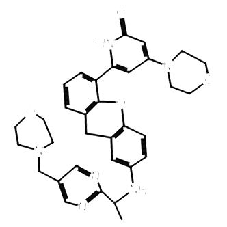 CC(Nc1ccc2c(c1)Cc1cccc(-c3cc(N4CCOCC4)cc(=O)[nH]3)c1O2)c1ncc(CN2CCOCC2)cn1